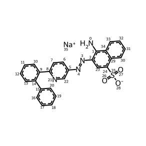 Nc1c(N=Nc2ccc(-c3ccccc3-c3ccccc3)nc2)cc(S(=O)(=O)[O-])c2ccccc12.[Na+]